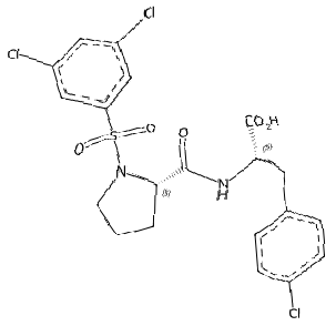 O=C(O)[C@H](Cc1ccc(Cl)cc1)NC(=O)[C@@H]1CCCN1S(=O)(=O)c1cc(Cl)cc(Cl)c1